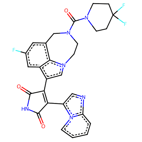 O=C1NC(=O)C(c2cnc3ccccn23)=C1c1cn2c3c(cc(F)cc13)CN(C(=O)N1CCC(F)(F)CC1)CC2